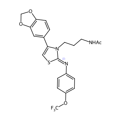 CC(=O)NCCCn1c(-c2ccc3c(c2)OCO3)cs/c1=N\c1ccc(OC(F)(F)F)cc1